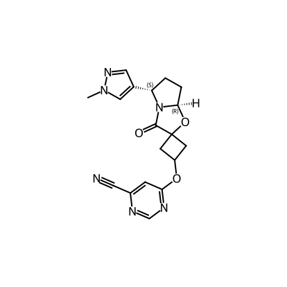 Cn1cc([C@@H]2CC[C@H]3OC4(CC(Oc5cc(C#N)ncn5)C4)C(=O)N32)cn1